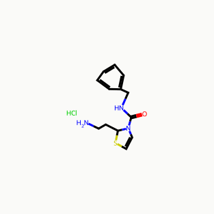 Cl.NCCC1SC=CN1C(=O)NCc1ccccc1